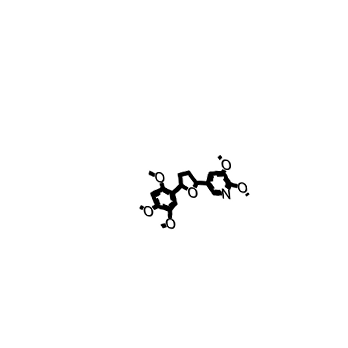 COc1cc(OC)c(C2CCC(c3cnc(OC)c(OC)c3)O2)cc1OC